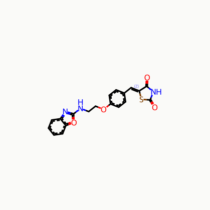 O=C1NC(=O)/C(=C/c2ccc(OCCNc3nc4ccccc4o3)cc2)S1